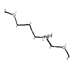 COCCCNCOC